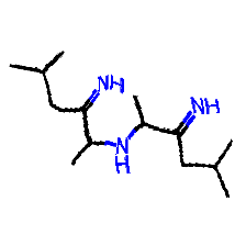 CC(C)CC(=N)C(C)NC(C)C(=N)CC(C)C